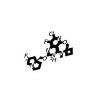 [2H]N1C2=c3c(nc(Cl)c(F)c3=NC1OC[C@@]13CCCN1C[C@H](F)C3)OCC1(CCC1)N2C